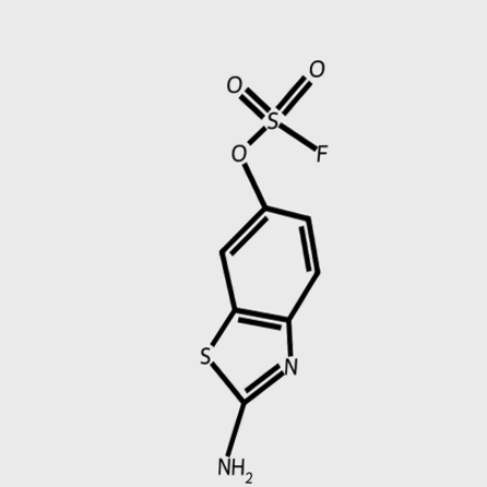 Nc1nc2ccc(OS(=O)(=O)F)cc2s1